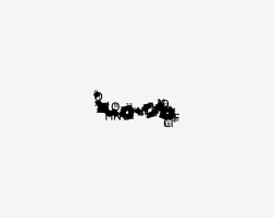 COCC1CC(CC(=O)N[C@H]2CC[C@H](CCN3CCN(c4noc5cc(F)c(Cl)cc45)CC3)CC2)C1